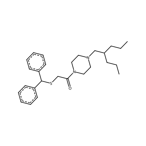 CCCC(CCC)CN1CCN(C(=O)CSC(c2ccccc2)c2ccccc2)CC1